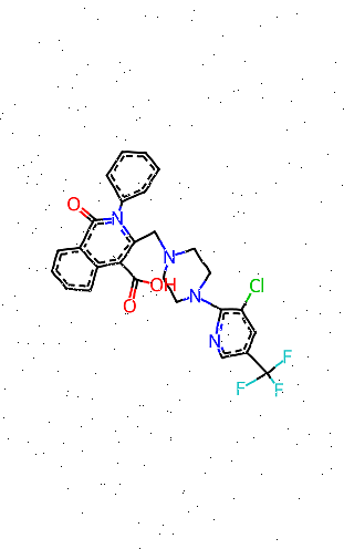 O=C(O)c1c(CN2CCN(c3ncc(C(F)(F)F)cc3Cl)CC2)n(-c2ccccc2)c(=O)c2ccccc12